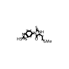 CSCCC1NC(=S)N(c2ccc3nc(S)sc3c2)C1=O